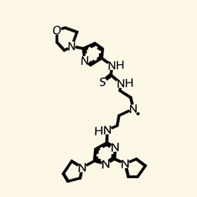 CN(CCNC(=S)Nc1ccc(N2CCOCC2)nc1)CCNc1cc(N2CCCC2)nc(N2CCCC2)n1